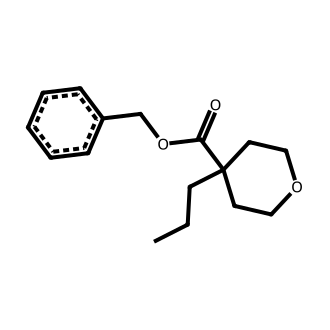 CCCC1(C(=O)OCc2ccccc2)CCOCC1